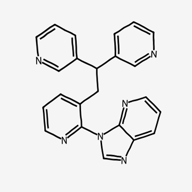 c1cncc(C(Cc2cccnc2-n2cnc3cccnc32)c2cccnc2)c1